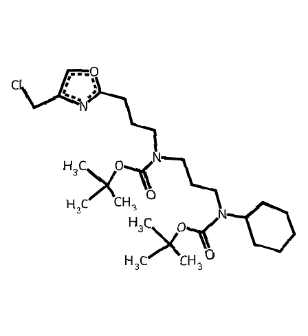 CC(C)(C)OC(=O)N(CCCc1nc(CCl)co1)CCCN(C(=O)OC(C)(C)C)C1CCCCC1